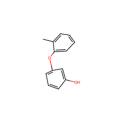 Cc1c[c]ccc1Oc1cccc(O)c1